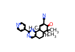 CC1(C)C(=O)C(C#N)=C[C@]2(C)c3nc(-c4ccncc4)ncc3CC[C@@H]12